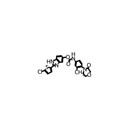 Cc1cc(NC(=O)Oc2ccc3[nH]c(-c4ccc(Cl)s4)nc3c2)ccc1N1CCOCC1=O